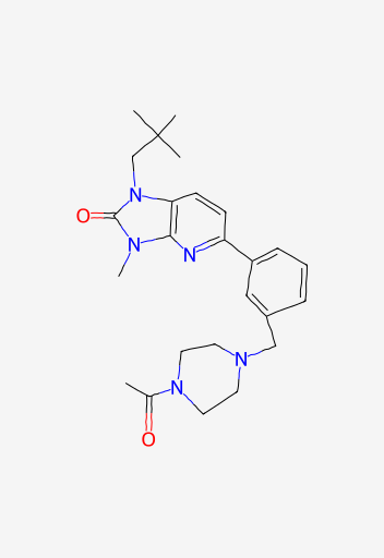 CC(=O)N1CCN(Cc2cccc(-c3ccc4c(n3)n(C)c(=O)n4CC(C)(C)C)c2)CC1